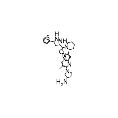 Cc1cn2nc([C@@H]3CCCCN3C(=O)C3CC(c4cccs4)NN3)cc2nc1N1CC[C@H](N)C1